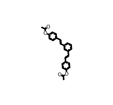 CC(=O)Oc1ccc(C=Cc2cccc(C=Cc3ccc(OC(C)=O)cc3)c2)cc1